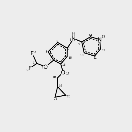 FC(F)Oc1ccc(Nc2cccnc2)cc1OCC1CC1